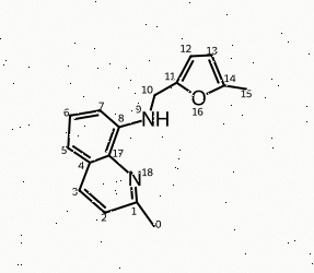 Cc1ccc2cccc(NCc3ccc(C)o3)c2n1